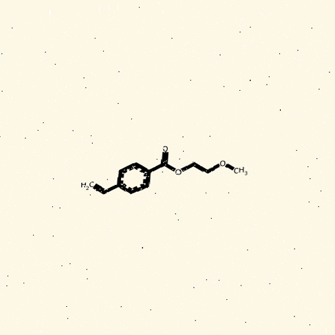 C=Cc1ccc(C(=O)OCCOC)cc1